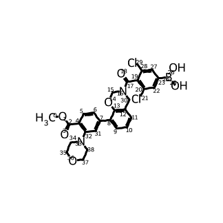 COC(=O)c1ccc(-c2cccc3c2OCN(C(=O)c2c(Cl)cc(B(O)O)cc2Cl)C3)cc1N1CCOCC1